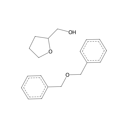 OCC1CCCO1.c1ccc(COCc2ccccc2)cc1